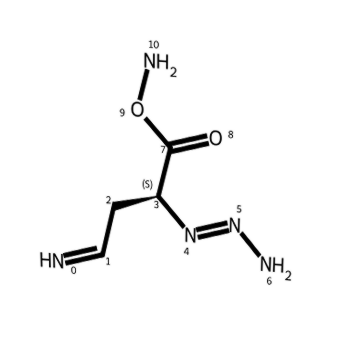 N=CC[C@H](N=NN)C(=O)ON